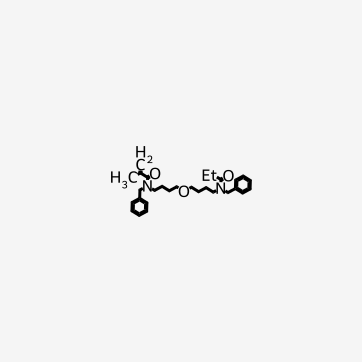 C=C(C)C(=O)N(CCCCOCCCCN(Cc1ccccc1)C(=O)CC)Cc1ccccc1